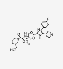 CC1(NC(=O)C(=O)N2CCCC(CO)C2)COC(c2nc(-c3ccc(F)cc3)c(-c3ccncc3)[nH]2)OC1